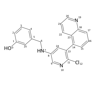 Oc1cccc(CNc2cnc(Cl)c(-c3cccc4ncccc34)c2)c1